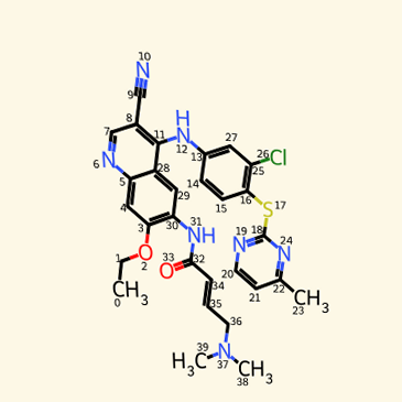 CCOc1cc2ncc(C#N)c(Nc3ccc(Sc4nccc(C)n4)c(Cl)c3)c2cc1NC(=O)C=CCN(C)C